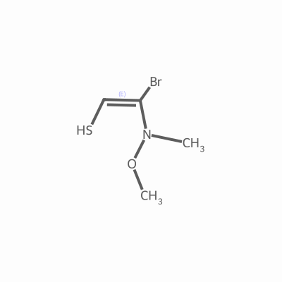 CON(C)/C(Br)=C\S